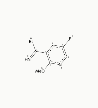 CCC(=N)c1cc(F)cnc1OC